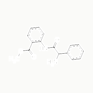 COC(=O)c1ccccc1NC(=O)C(N)c1ccccc1